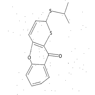 CC(C)SC1C=Cc2oc3ccccc3c(=O)c2S1